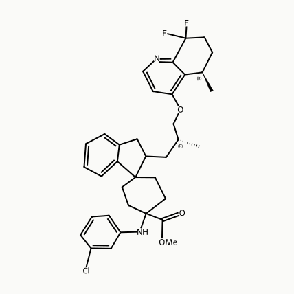 COC(=O)C1(Nc2cccc(Cl)c2)CCC2(CC1)c1ccccc1CC2C[C@@H](C)COc1ccnc2c1[C@H](C)CCC2(F)F